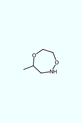 CC1CNOCCO1